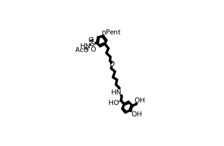 CCCCCc1cc(CCCCOCCCCCCNC[C@@H](O)c2ccc(O)c(CO)c2)cc(S(=O)(=O)NOC(C)=O)c1